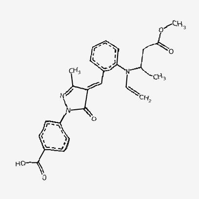 C=CN(c1ccccc1/C=C1/C(=O)N(c2ccc(C(=O)O)cc2)N=C1C)C(C)CC(=O)OC